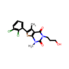 Cc1c(-c2cccc(Cl)c2Cl)sc2c1c(=O)n(CCCO)c(=O)n2C